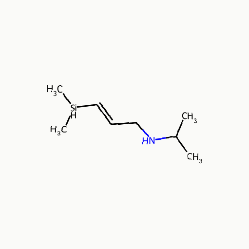 CC(C)NCC=C[SiH](C)C